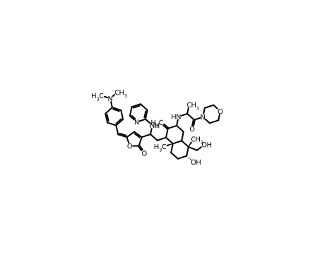 C=C1C(NC(C)C(=O)N2CCOCC2)CC2[C@](C)(CC[C@@H](O)[C@@]2(C)CO)C1CC(Nc1ccccn1)C1=C/C(=C\c2ccc(N(C)C)cc2)OC1=O